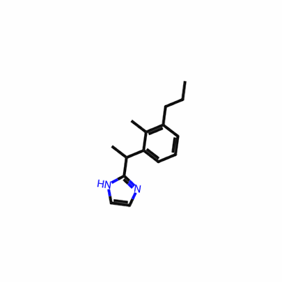 CCCc1cccc(C(C)c2ncc[nH]2)c1C